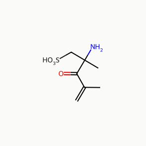 C=C(C)C(=O)C(C)(N)CS(=O)(=O)O